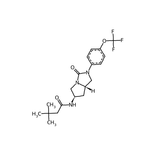 CC(C)(C)CC(=O)N[C@@H]1C[C@H]2CN(c3ccc(OC(F)(F)F)cc3)C(=O)N2C1